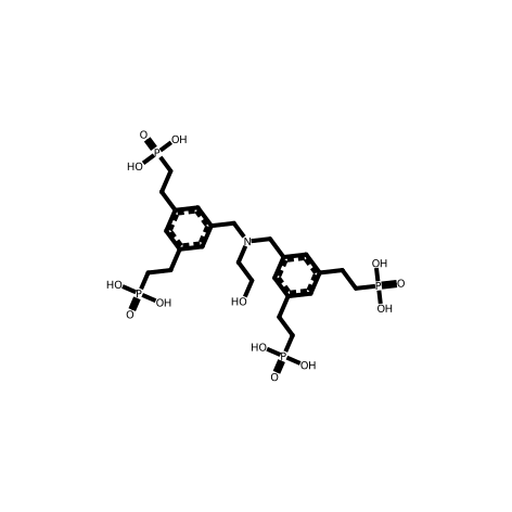 O=P(O)(O)CCc1cc(CCP(=O)(O)O)cc(CN(CCO)Cc2cc(CCP(=O)(O)O)cc(CCP(=O)(O)O)c2)c1